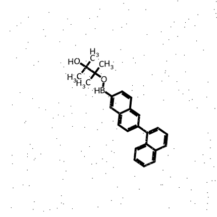 CC(C)(O)C(C)(C)OBc1ccc2cc(-c3cccc4ccccc34)ccc2c1